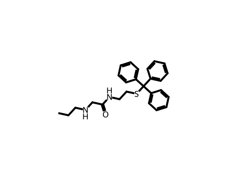 CCCNCC(=O)NCCSC(c1ccccc1)(c1ccccc1)c1ccccc1